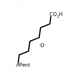 CCCCCCCCCCCC(=O)O.[O]